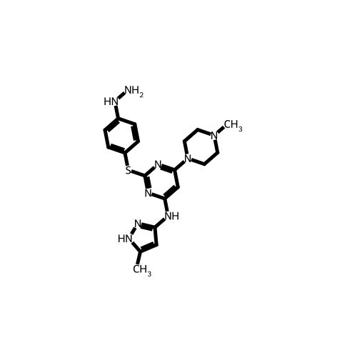 Cc1cc(Nc2cc(N3CCN(C)CC3)nc(Sc3ccc(NN)cc3)n2)n[nH]1